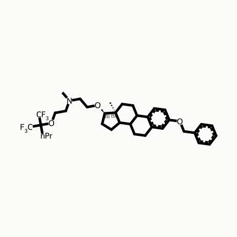 CCCC(OCCN(C)CCO[C@H]1CCC2C3CCc4cc(OCc5ccccc5)ccc4C3CC[C@@]21C)(C(F)(F)F)C(F)(F)F